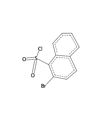 O=S(=O)(Cl)c1c(Br)ccc2ccccc12